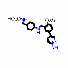 COc1ccc(-c2ccc(N)nc2)cc1CNC1CCC(CNC(=O)O)CC1